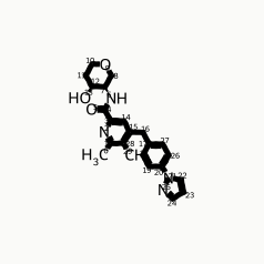 Cc1nc(C(=O)N[C@H]2COCC[C@@H]2O)cc(Cc2ccc(-n3cccn3)cc2)c1C